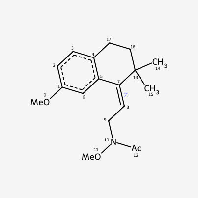 COc1ccc2c(c1)/C(=C\CN(OC)C(C)=O)C(C)(C)CC2